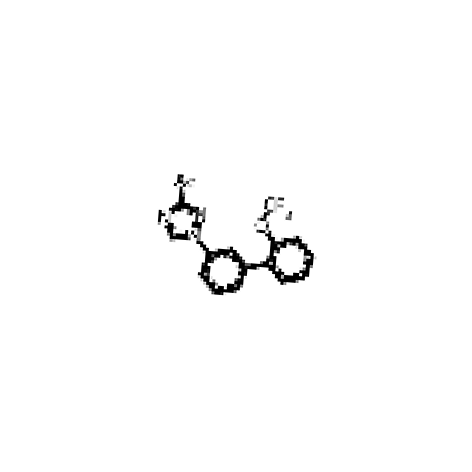 CC(=O)c1ncn(-c2cccc(-c3ccccc3OC(F)(F)F)c2)n1